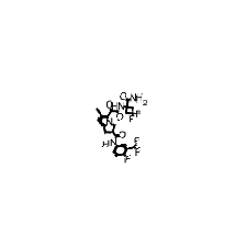 Cc1cc2n(c1C(=O)C(=O)NC1(C(N)=O)CC(F)(F)C1)CC(C(=O)Nc1ccc(F)c(C(F)F)c1)C2